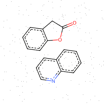 O=C1Cc2ccccc2O1.c1ccc2ncccc2c1